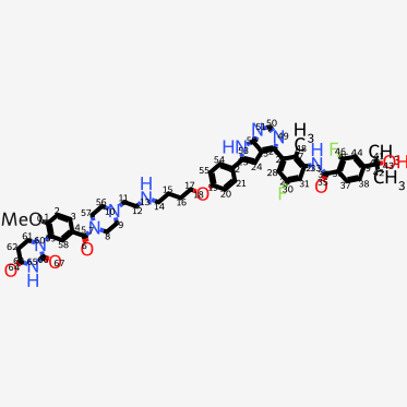 COc1ccc(C(=O)N2CCN(CCNCCCCOc3ccc(-c4cc5c(-c6cc(F)cc(NC(=O)c7ccc(C(C)(C)O)cc7F)c6C)ncnc5[nH]4)cc3)CC2)cc1N1CCC(=O)NC1=O